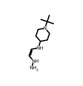 CC(C)(C)N1CCC(N/C=C\NN)CC1